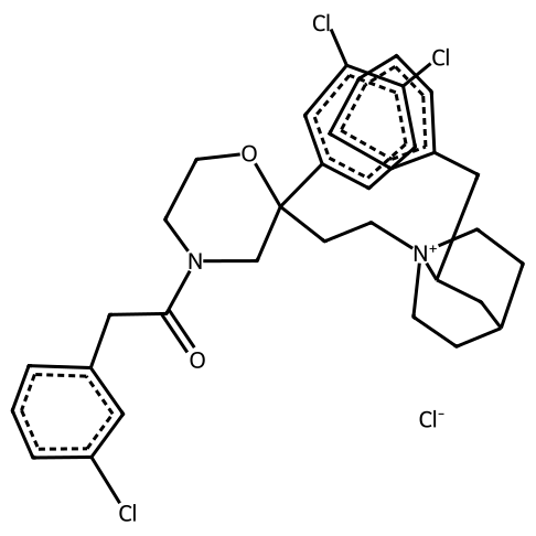 O=C(Cc1cccc(Cl)c1)N1CCOC(CC[N+]23CCC(CC2)CC3Cc2ccccc2)(c2ccc(Cl)c(Cl)c2)C1.[Cl-]